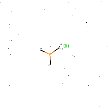 C[P](C)[Al].Cl